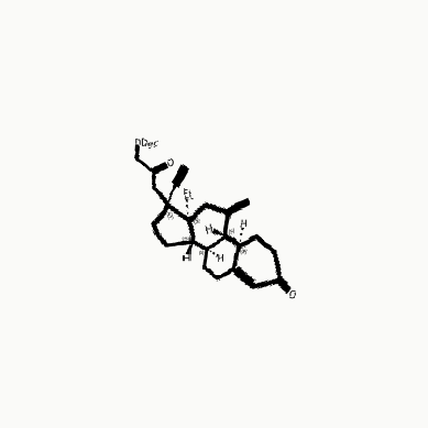 C#C[C@]1(CC(=O)CCCCCCCCCCC)CC[C@H]2[C@@H]3CCC4=CC(=O)CC[C@@H]4[C@H]3C(=C)C[C@@]21CC